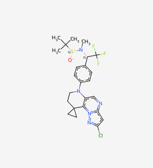 CN([C@@H](c1ccc(N2CCC3(CC3)c3c2cnc2cc(Cl)nn32)cc1)C(F)(F)F)[S@+]([O-])C(C)(C)C